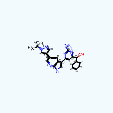 CC(C)n1cc(-c2cnc3[nH]cc(-c4cc(C(O)c5ccccc5)nc(N)n4)c3c2)cn1